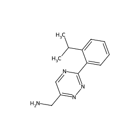 CC(C)c1ccccc1-c1ncc(CN)nn1